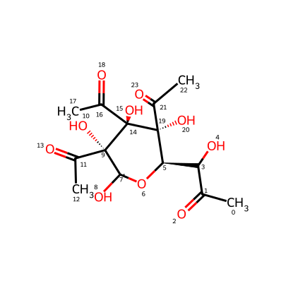 CC(=O)C(O)[C@H]1O[C](O)[C@@](O)(C(C)=O)[C@](O)(C(C)=O)[C@@]1(O)C(C)=O